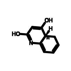 OC1=CC(O)=NC2=CC=CC[C@@H]12